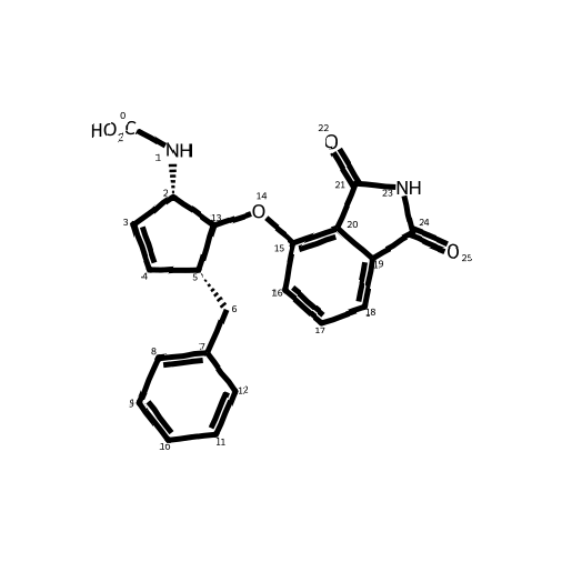 O=C(O)N[C@H]1C=C[C@@H](Cc2ccccc2)C1Oc1cccc2c1C(=O)NC2=O